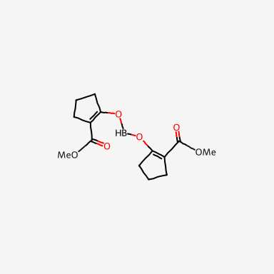 COC(=O)C1=C(OBOC2=C(C(=O)OC)CCC2)CCC1